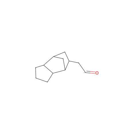 O=[C]CC1CC2CC1C1CCCC21